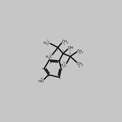 CC(C)(C)C(O)(c1ccc(O)cc1)C(C)(C)C